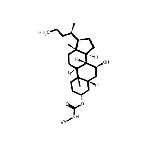 CC(C)NC(=O)O[C@@H]1CC[C@@]2(C)[C@@H](C1)C[C@H](O)[C@@H]1[C@@H]2CC[C@]2(C)[C@@H]([C@H](C)CCC(=O)O)CC[C@@H]12